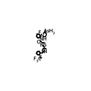 O=C(Nc1cccc(F)c1N1CCC[C@@H]([AsH2])C1)c1csc(-c2cnn(Cc3ccccc3SC(F)(F)F)c2)n1